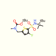 CN(Cc1cc(F)c(S(=O)(=O)N[Si](C)(C)C(C)(C)C)s1)C(=O)OC(C)(C)C